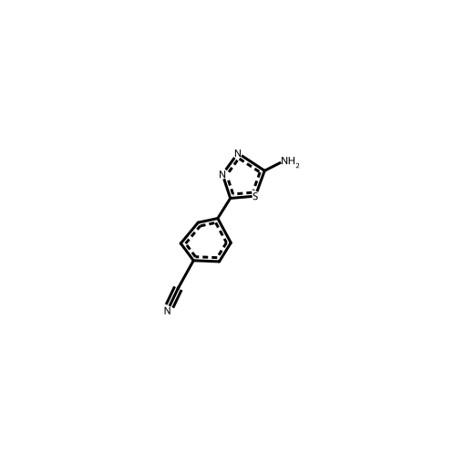 N#Cc1ccc(-c2nnc(N)s2)cc1